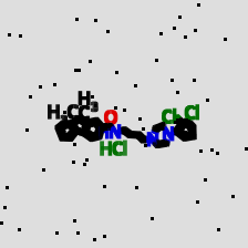 CC1(C)c2ccccc2-c2ccc(C(=O)NCCCCN3CCN(c4cccc(Cl)c4Cl)CC3)cc21.Cl